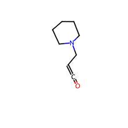 O=C=CCN1CCCCC1